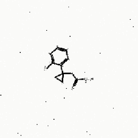 O=C(O)C(=O)CC1(c2ccccc2Cl)CC1